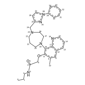 CCCNC(=O)COc1c(C)cc2cccnc2c1N1CCCN(Cc2ccn(-c3ccccc3)n2)CC1